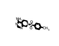 Cc1ccc(S(=O)(=O)N2CCc3c(N)ncnc3C2)cc1